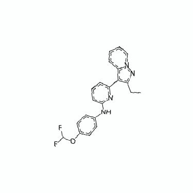 CCc1nn2ccccc2c1-c1cccc(Nc2ccc(OC(F)F)cc2)n1